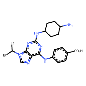 CCC(CC)n1cnc2c(Nc3ccc(C(=O)O)cc3)nc(NC3CCC(N)CC3)nc21